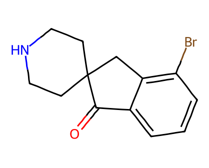 O=C1c2cccc(Br)c2CC12CCNCC2